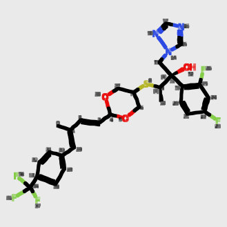 CC(C=CC1OCC(S[C@H](C)[C@](O)(Cn2cncn2)c2ccc(F)cc2F)CO1)=Cc1ccc(C(F)(F)F)cc1